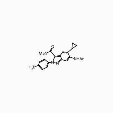 Bc1ccc(-n2nc3cc(NC(C)=O)c(C4CC4)cc3c2C(=O)NC)cc1